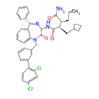 C=CC[C@H](C(N)=O)[C@@H](CC1CCC1)C(=O)NC1N=C(c2ccccc2)c2ccccc2N(Cc2cccc(-c3ccc(Cl)cc3Cl)c2)C1=O